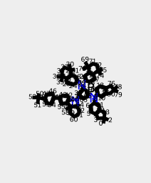 CC1(C)Cc2ccc(N3c4cc5c(cc4B4c6cc7c(cc6N(c6ccc8c(c6)C(C)(C)CCC8(C)C)c6cc(N8c9ccc(-c%10ccc(C(C)(C)C)cc%10)cc9C9(C)CCCCC89C)cc3c64)C(C)(C)CCC7(C)C)CC(C)(C)C5)cc2C1